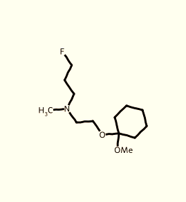 COC1(OCCN(C)CCCF)CCCCC1